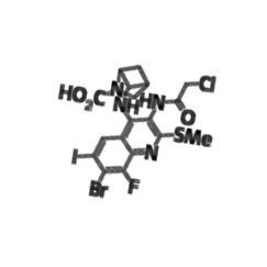 CSc1nc2c(F)c(Br)c(I)cc2c(NC2C3CC2N(C(=O)O)C3)c1NC(=O)CCl